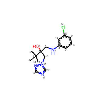 CC(C)(C)C(O)(CNc1cccc(Cl)c1)Cn1cncn1